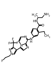 CCc1cc(Nc2nccn3c(-c4cn(CCF)nc4C(F)(F)F)cnc23)ccc1C(=O)N[C@H](C)CN